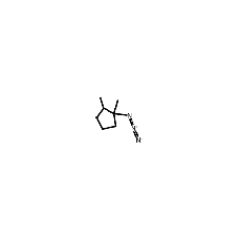 CC1CCCC1(C)N=[N+]=[N-]